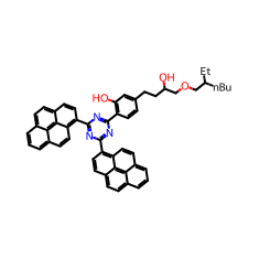 CCCCC(CC)COCC(O)CCc1ccc(-c2nc(-c3ccc4ccc5cccc6ccc3c4c56)nc(-c3ccc4ccc5cccc6ccc3c4c56)n2)c(O)c1